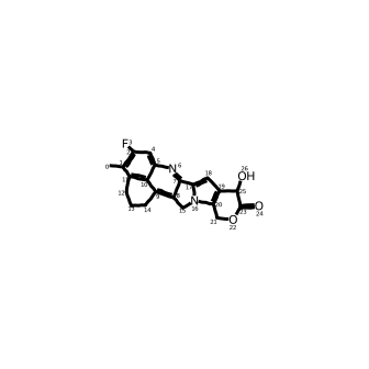 Cc1c(F)cc2nc3c(c4c2c1CCC4)Cn1c-3cc2c1COC(=O)C2O